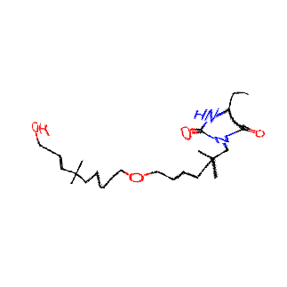 CCC1NC(=O)N(CC(C)(C)CCCCOCCCCC(C)(C)CCCO)C1=O